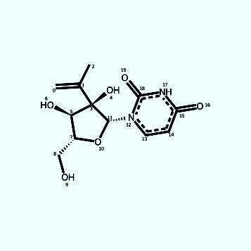 C=C(C)[C@@]1(O)[C@H](O)[C@@H](CO)O[C@H]1n1ccc(=O)[nH]c1=O